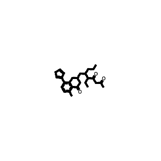 CCCC(CC1CC(=O)c2c(C)ccc(C3=CCC=C3)c2C1)C(CC)C(=O)CC(C)=O